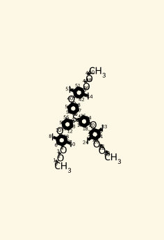 CCOCOc1cc(I)c(Oc2ccc([S+](c3ccc(Oc4cc(I)c(OCOCC)cc4I)cc3)c3ccc(Oc4cc(I)c(OCOCC)cc4I)cc3)cc2)cc1I